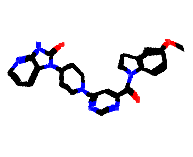 COc1ccc2c(c1)CCN2C(=O)c1cc(N2CCC(n3c(=O)[nH]c4ncccc43)CC2)ncn1